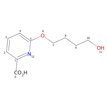 O=C(O)c1cccc(OCCCCO)n1